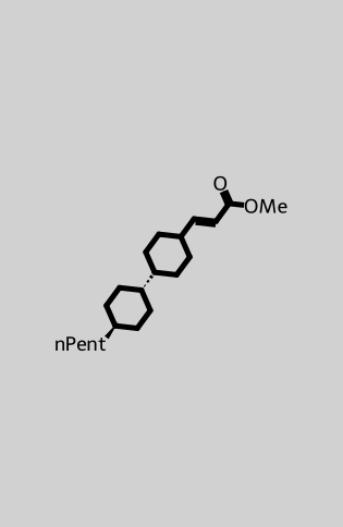 CCCCC[C@H]1CC[C@H](C2CCC(/C=C/C(=O)OC)CC2)CC1